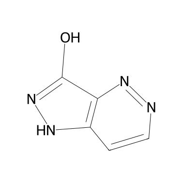 Oc1n[nH]c2ccnnc12